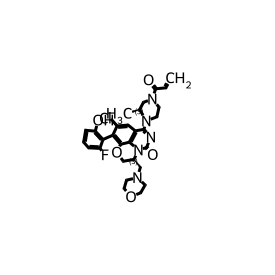 C=CC(=O)N1CCN(c2nc(=O)n3c4c(c(-c5c(O)cccc5F)c(Cl)cc24)OC[C@@H]3CN2CCOCC2)[C@@H](C)C1